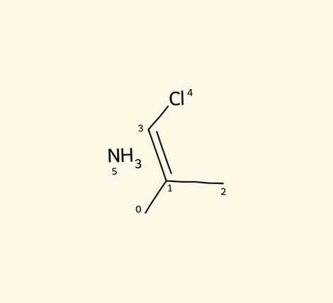 CC(C)=CCl.N